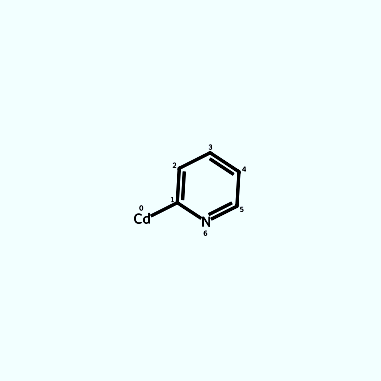 [Cd][c]1ccccn1